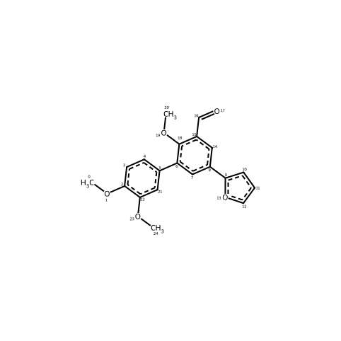 COc1ccc(-c2cc(-c3ccco3)cc(C=O)c2OC)cc1OC